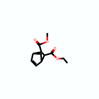 CCOC(=O)C1C2C=CC(C2)C1C(=O)OC